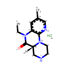 CC(C)CN1C(=O)[C@H]2CNCCN2c2ncc(C(F)(F)F)cc21.Cl